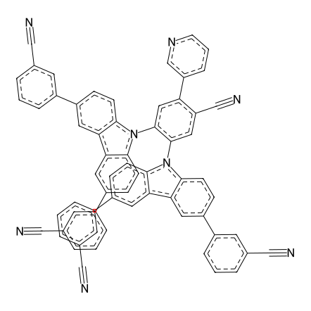 N#Cc1cccc(-c2ccc3c(c2)c2cc(-c4cccc(C#N)c4)ccc2n3-c2cc(C#N)c(-c3cccnc3)cc2-n2c3ccc(-c4cccc(C#N)c4)cc3c3cc(-c4cccc(C#N)c4)ccc32)c1